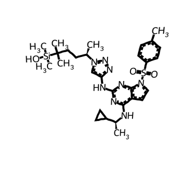 Cc1ccc(S(=O)(=O)n2ccc3c(N[C@@H](C)C4CC4)nc(Nc4cn([C@H](C)CCC(C)(C)[Si](C)(C)O)nn4)nc32)cc1